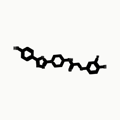 O=C(COc1ccc(Cl)c(F)c1)NC1CCN(c2nnc(-c3ccc(O)cc3)o2)CC1